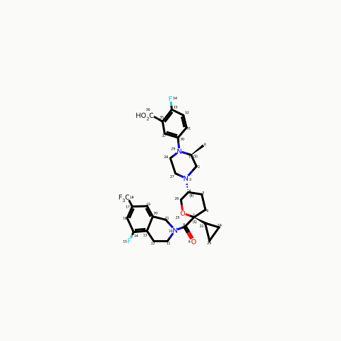 C[C@H]1CN([C@@H]2CC[C@@](C(=O)N3CCc4c(F)cc(C(F)(F)F)cc4C3)(C3CC3)OC2)CCN1c1ccc(F)c(C(=O)O)c1